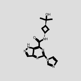 CC(C)(O)[C@H]1C[C@H](NC(=O)c2nc(-n3ccnc3)nc3cn[nH]c23)C1